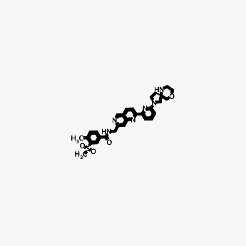 Cc1ccc(C(=O)NCc2cc3nc(-c4cccc(N5CC[C@@]6(COCCN6)C5)n4)ccc3cn2)cc1S(C)(=O)=O